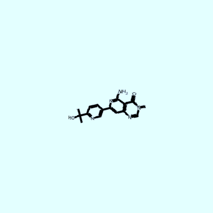 Cn1cnc2cc(-c3ccc(C(C)(C)O)nc3)nc(N)c2c1=O